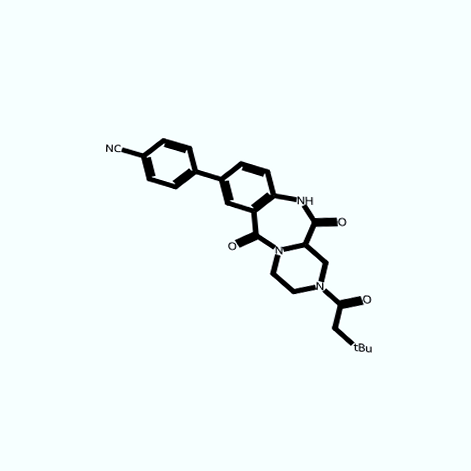 CC(C)(C)CC(=O)N1CCN2C(=O)c3cc(-c4ccc(C#N)cc4)ccc3NC(=O)C2C1